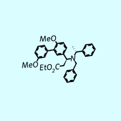 CCOC(=O)C[C@@H](c1ccc(OC)c(-c2cccc(OC)c2)c1)N(Cc1ccccc1)[C@H](C)c1ccccc1